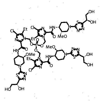 CCc1c(Cl)nc(C(=O)N[C@@H]2CCN(c3nnc([C@H](O)CO)s3)C[C@@H]2OC)n1COP(=O)(OCn1c(C(=O)N[C@@H]2CCN(c3nnc([C@H](O)CO)s3)C[C@@H]2OC)nc(Cl)c1CC)OCn1c(C(=O)N[C@@H]2CCN(c3nnc([C@H](O)CO)s3)C[C@@H]2OC)nc(Cl)c1CC